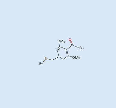 CCCCC(=O)C1=C(OC)CC(CSCC)C=C1OC